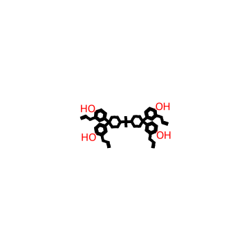 C=CCc1cc(C2(c3ccc(O)c(CC=C)c3)CCC(C(C)(C)C3CCC(c4ccc(O)c(CC=C)c4)(c4ccc(O)c(CC=C)c4)CC3)CC2)ccc1O